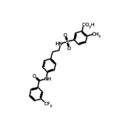 Cc1ccc(S(=O)(=O)NCCc2ccc(NC(=O)c3cccc(C(F)(F)F)c3)cc2)cc1C(=O)O